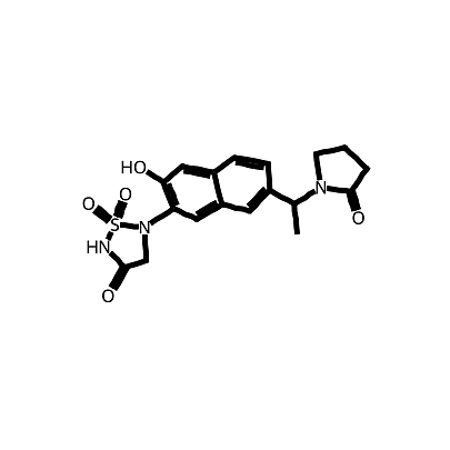 CC(c1ccc2cc(O)c(N3CC(=O)NS3(=O)=O)cc2c1)N1CCCC1=O